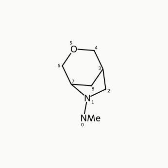 CNN1CC2COCC1C2